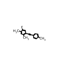 Cc1ccc(C#Cc2cc(F)c(C)cc2C)cc1